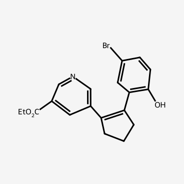 CCOC(=O)c1cncc(C2=C(c3cc(Br)ccc3O)CCC2)c1